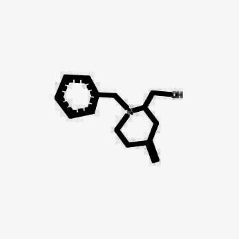 C=C1CCN(Cc2ccccc2)C(CO)C1